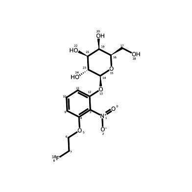 O=[N+]([O-])c1c(OCC[18F])cccc1O[C@@H]1O[C@H](CO)[C@H](O)[C@H](O)[C@H]1O